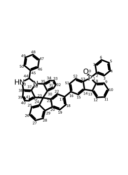 O=P1(c2ccccc2)c2ccccc2-c2cc(-c3ccc4c(c3)C3(c5ccccc5-4)c4ccccc4N4c5c(cccc53)NC4c3ccccc3)ccc21